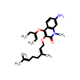 CC=C(CC)Oc1c(OC/C=C(\C)CCC=C(C)C)c(=O)n(C)c2cc(N)ccc12